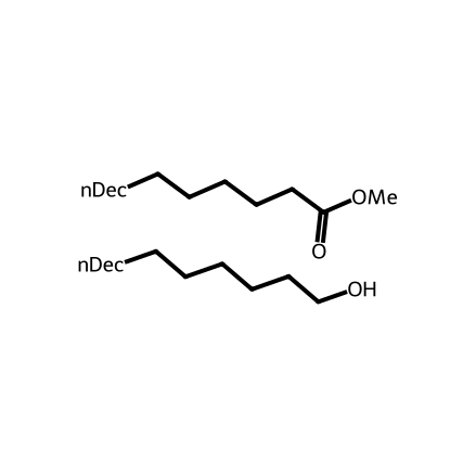 CCCCCCCCCCCCCCCC(=O)OC.CCCCCCCCCCCCCCCCO